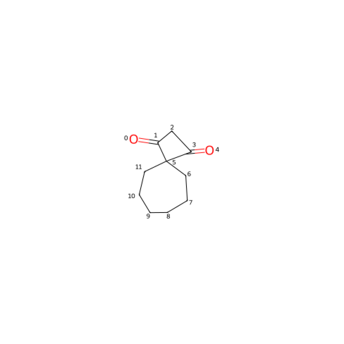 O=C1CC(=O)C12CCCCCC2